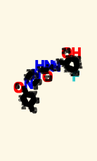 Cc1ccc(C(=O)N2CCN(CC(=O)N/N=C/c3cc(F)ccc3O)CC2)cc1